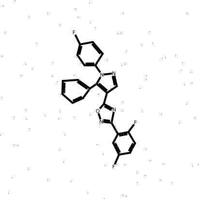 Fc1ccc(-n2ncc(-c3nc(-c4cc(F)ccc4F)no3)c2-c2ccccc2)cc1